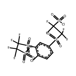 O=S(=O)(Cl)C(F)(F)C(F)(F)S(=O)(=O)c1ccc(Cl)c(S(=O)(=O)C(F)(F)C(F)(F)S(=O)(=O)Cl)c1